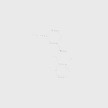 CC(=O)Nc1cccc(C(=O)Nc2ccccc2N)c1